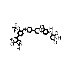 Cn1cc(-c2ccc(CN3CCC(C4CCN(c5ccc(NC6CCC(=O)NC6=O)cc5Cl)CC4)CC3)c(OC(F)(F)F)c2)c2cn[nH]c2c1=O